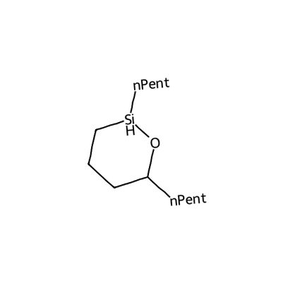 CCCCCC1CCC[SiH](CCCCC)O1